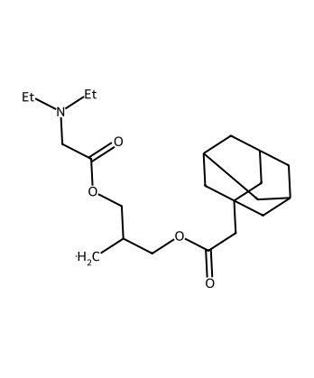 [CH2]C(COC(=O)CN(CC)CC)COC(=O)CC12CC3CC(CC(C3)C1)C2